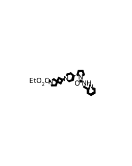 CCOC(=O)N1CCC2(CC(N3CC=C([C@@H]4CCCN4C(=O)NCc4ccccn4)CC3)C2)C1